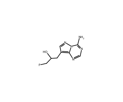 Nc1ncnc2c(CC(O)CF)cnn12